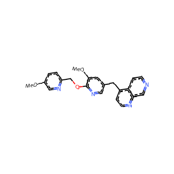 COc1ccc(COc2ncc(Cc3ccnc4cnccc34)cc2OC)nc1